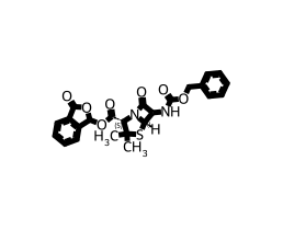 CC1(C)S[C@@H]2C(NC(=O)OCc3ccccc3)C(=O)N2[C@H]1C(=O)OC1OC(=O)c2ccccc21